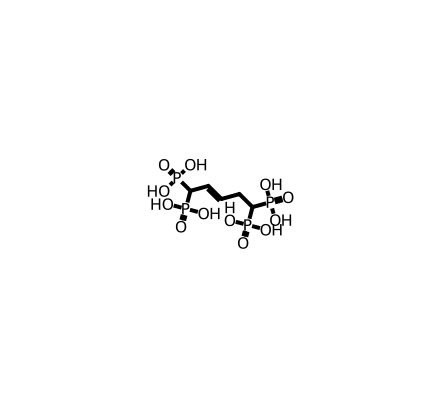 O=P(O)(O)C(/C=C/CC(P(=O)(O)O)P(=O)(O)O)P(=O)(O)O